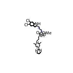 CO/C(=C/C=C/c1cc2cc(Cl)c(Cl)cc2[nH]1)C(=O)NCCCN1C(C)CN(c2ncccn2)CC1C.Cl